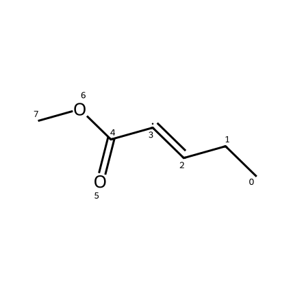 CC/C=[C]/C(=O)OC